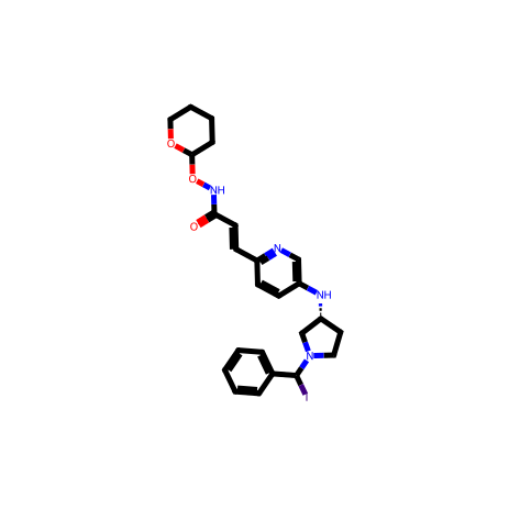 O=C(C=Cc1ccc(N[C@@H]2CCN(C(I)c3ccccc3)C2)cn1)NOC1CCCCO1